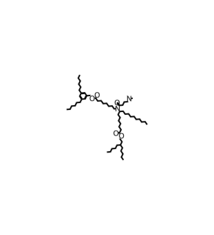 CCCCCCCCCCC(CCCCCCC(=O)OCCC(CCCCC)CCCCC)N(CCCCCCCC(=O)OCc1cc(CCCCCC)cc(CCCCCC)c1)C(=O)CCCN(C)C